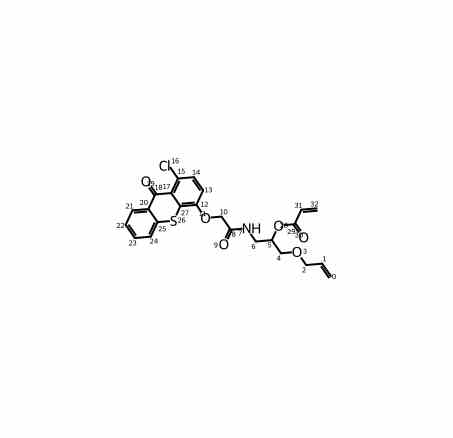 C=CCOCC(CNC(=O)COc1ccc(Cl)c2c(=O)c3ccccc3sc12)OC(=O)C=C